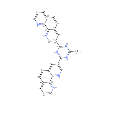 Cc1nc(-c2cnc3c(ccc4cccnc43)c2)nc(-c2cnc3c(ccc4cccnc43)c2)n1